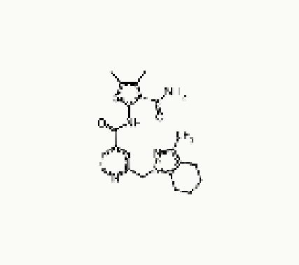 Cc1sc(NC(=O)c2ccnc(Cn3nc(C(F)(F)F)c4c3CCCC4)c2)c(C(N)=O)c1C